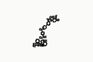 Cn1c(=O)n(C2CCC(=O)NC2=O)c2ccc(C3CCN(C(=O)c4ccc(NC(=O)[C@@H]5NC6(CCCCC6)[C@@]6(C(=O)Nc7cc(Cl)ccc76)[C@H]5c5cccc(Cl)c5F)cc4)CC3)cc21